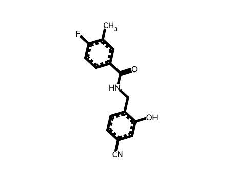 Cc1cc(C(=O)NCc2ccc(C#N)cc2O)ccc1F